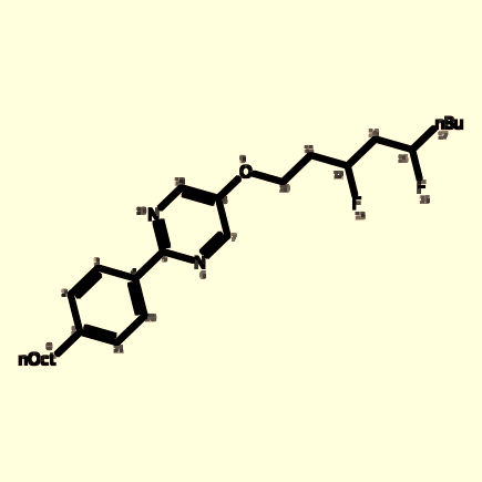 CCCCCCCCc1ccc(-c2ncc(OCCC(F)CC(F)CCCC)cn2)cc1